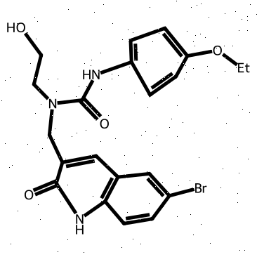 CCOc1ccc(NC(=O)N(CCO)Cc2cc3cc(Br)ccc3[nH]c2=O)cc1